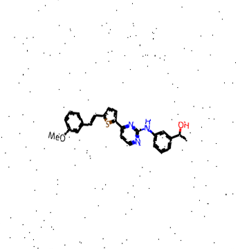 COc1cccc(/C=C/c2ccc(-c3ccnc(Nc4cccc(C(C)O)c4)n3)s2)c1